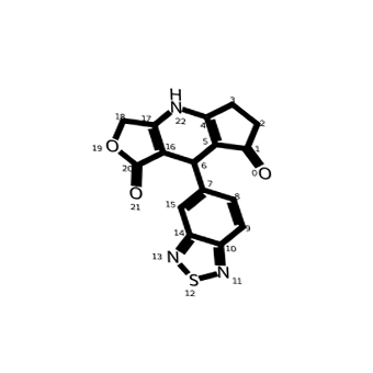 O=C1CCC2=C1C(c1ccc3nsnc3c1)C1=C(COC1=O)N2